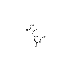 COc1cc(NC(=O)C(=O)O)cc(Br)n1